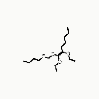 CCCCCC(OCC)=C(OCC)OCOCCCC